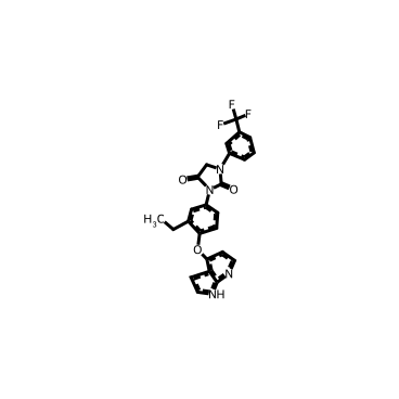 CCc1cc(N2C(=O)CN(c3cccc(C(F)(F)F)c3)C2=O)ccc1Oc1ccnc2[nH]ccc12